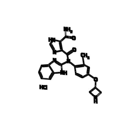 Cc1cc(OC2CNC2)ccc1N(C(=O)c1nc[nH]c1C(N)=O)c1nc2ccccc2[nH]1.Cl